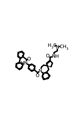 CN(C)CCNC(=O)C1=C[C@@]2(CC1)CCN(C(=O)c1ccc(NC(=O)c3ccccc3-c3ccccc3)cc1)c1ccccc1C2